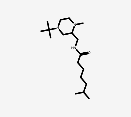 CC(C)CCCCC(=O)NCC1CN(C(C)(C)C)CCN1C